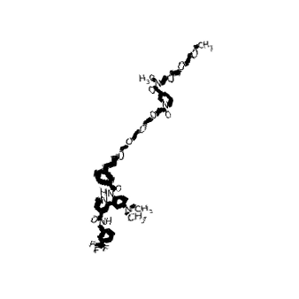 CCOCCOCCOCCN(C)C(=O)C1CCCN(C(=O)CCOCCOCCOCCOCCCc2cccc(C(=O)Nc3ccc(N(CC)CC)cc3-c3cc(C(=O)NCc4cccc(C(F)(F)F)c4)ccn3)c2)C1